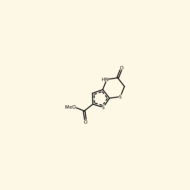 COC(=O)c1cc2c(s1)SCC(=O)N2